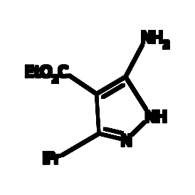 CCOC(=O)c1c(C(C)C)n[nH]c1N